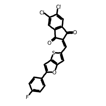 O=C1C(=Cc2cc3oc(-c4ccc(F)cc4)cc3s2)C(=O)c2cc(Cl)c(Cl)cc21